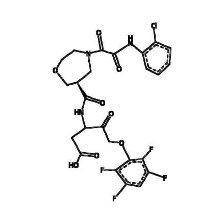 O=C(O)CC(NC(=O)[C@H]1COCCN(C(=O)C(=O)Nc2ccccc2Cl)C1)C(=O)COc1c(F)c(F)cc(F)c1F